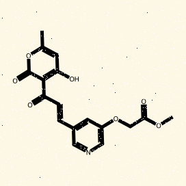 COC(=O)COc1cncc(/C=C/C(=O)c2c(O)cc(C)oc2=O)c1